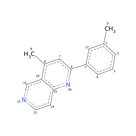 Cc1cccc(-c2cc(C)c3cnccc3n2)c1